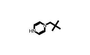 CC(C)(C)CN1C=CNC=C1